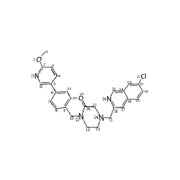 COc1ccc(-c2ccc(CN3CCN(Cc4cc5ccc(Cl)cc5cn4)CC3=O)cc2)cn1